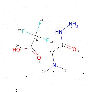 CN(C)CC(=O)NN.O=C(O)C(F)(F)F